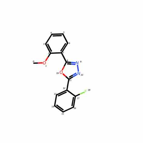 COc1ccccc1-c1nnc(-c2ccccc2F)o1